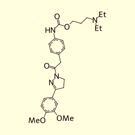 CCN(CC)CCCOC(=O)Nc1ccc(CC(=O)N2CCC(c3ccc(OC)c(OC)c3)=N2)cc1